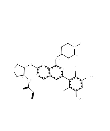 C=CC(=O)N[C@H]1COC[C@H]1Nc1ncc2cc(-c3c(Cl)c(OC)cc(OC)c3Cl)nc(NC3CCN(C)CC3)c2n1